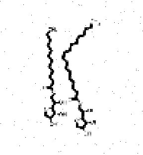 CCCCCCCC/C=C\CCCCCCCC(=O)OC[C@@H](O)[C@H]1OC[C@H](O)[C@H]1O.CCCCCCCCCCCC(=O)OC[C@@H](O)[C@H]1OC[C@H](O)[C@H]1O